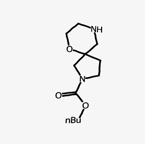 CCCCOC(=O)N1CCC2(CNCCO2)C1